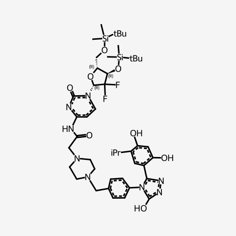 CC(C)c1cc(-c2nnc(O)n2-c2ccc(CN3CCN(CC(=O)Nc4ccn([C@@H]5O[C@H](CO[Si](C)(C)C(C)(C)C)[C@@H](O[Si](C)(C)C(C)(C)C)C5(F)F)c(=O)n4)CC3)cc2)c(O)cc1O